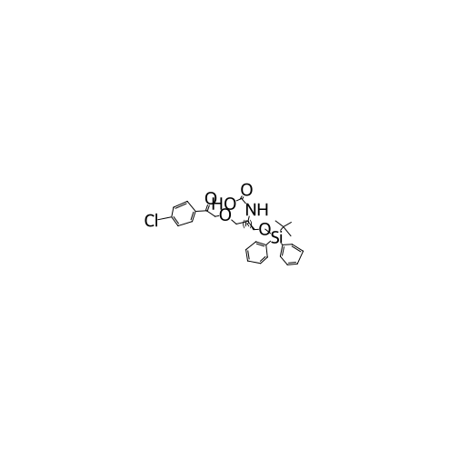 CC(C)(C)[Si](OC[C@@H](COCC(=O)c1ccc(Cl)cc1)NC(=O)O)(c1ccccc1)c1ccccc1